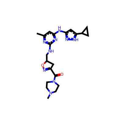 Cc1cc(Nc2cc(C3CC3)[nH]n2)nc(NCC2CC(C(=O)N3CCN(C)CC3)=NO2)n1